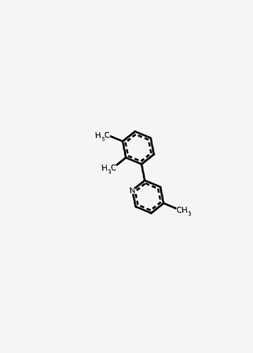 Cc1ccnc(-c2cccc(C)c2C)c1